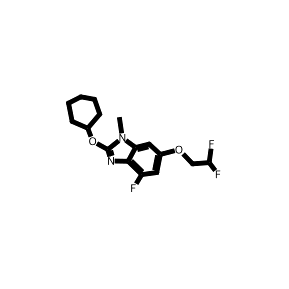 Cn1c(OC2CCCCC2)nc2c(F)cc(OCC(F)F)cc21